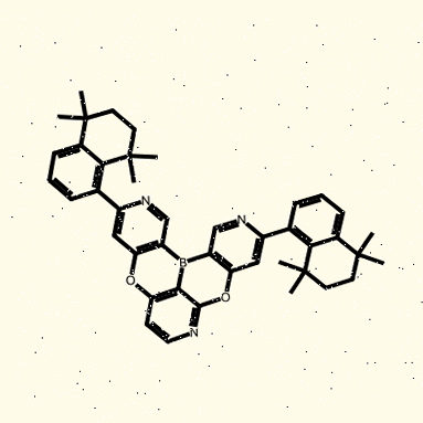 CC1(C)CCC(C)(C)c2c(-c3cc4c(cn3)B3c5cnc(-c6cccc7c6C(C)(C)CCC7(C)C)cc5Oc5nccc(c53)O4)cccc21